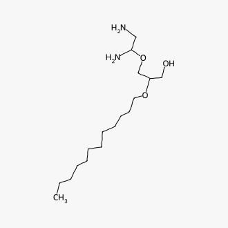 CCCCCCCCCCCCOC(CO)COC(N)CN